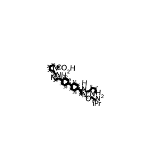 CC(C)C(N)C(=O)N1CCCC1c1ncc(-c2ccc(-c3ccc(-c4cnc(C5CCCN5C(=O)O)[nH]4)cc3)cc2)[nH]1